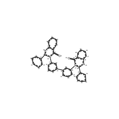 O=c1c2ccccc2nc(-c2ccccc2)n1-c1cccc(-c2cccc(-n3c(-c4ccccc4)nc4ccccc4c3=O)c2)c1